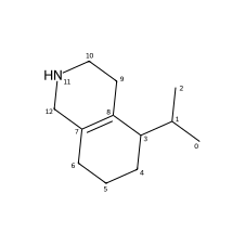 CC(C)C1CCCC2=C1CCNC2